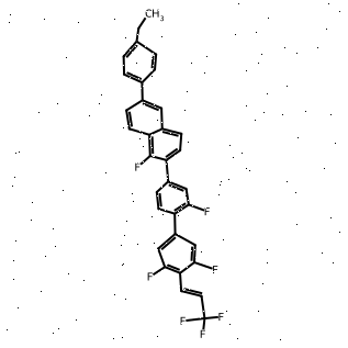 CCc1ccc(-c2ccc3c(F)c(-c4ccc(-c5cc(F)c(/C=C/C(F)(F)F)c(F)c5)c(F)c4)ccc3c2)cc1